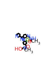 CC(=O)Nc1nc2c(s1)-c1c(c(-c3cccnc3)nn1-c1ccc(C(=O)N(C)CCO)cc1Cl)CC2